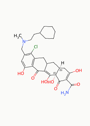 CN(CCC1CCCCC1)Cc1cc(O)c2c(c1Cl)CC1C[C@H]3CC(O)=C(C(N)=O)C(=O)[C@@]3(O)C(O)=C1C2=O